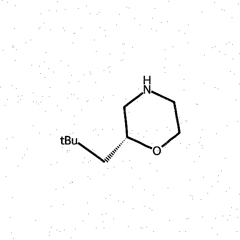 CC(C)(C)C[C@@H]1CNCCO1